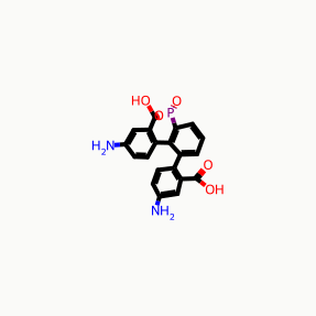 Nc1ccc(-c2cccc(P=O)c2-c2ccc(N)cc2C(=O)O)c(C(=O)O)c1